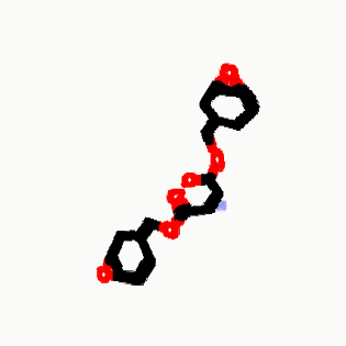 O=C(/C=C\C(=O)OCC1CCC2OC2C1)OCC1CCC2OC2C1